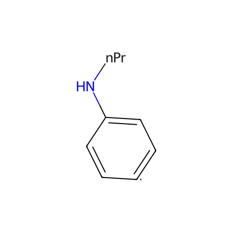 CCCNc1cc[c]cc1